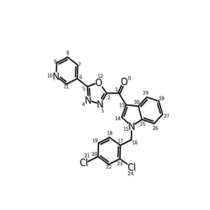 O=C(c1nnc(-c2cccnc2)o1)c1cn(Cc2ccc(Cl)cc2Cl)c2ccccc12